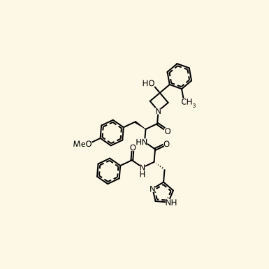 COc1ccc(C[C@H](NC(=O)[C@H](Cc2c[nH]cn2)NC(=O)c2ccccc2)C(=O)N2CC(O)(c3ccccc3C)C2)cc1